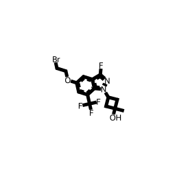 CC1(O)CC(n2nc(F)c3cc(OCCBr)cc(C(F)(F)F)c32)C1